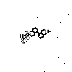 O=S(=O)(Nc1ncns1)N1CCc2c(cccc2-c2cccc3c2CCNC3)C1